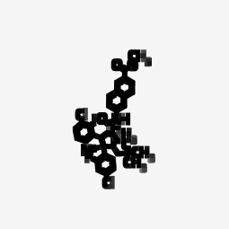 COC(=O)c1ccc2cc(NC(=O)[C@@H]3N[C@@H](CC(C)(C)C)[C@](C#N)(c4ccc(Cl)cc4F)[C@H]3c3cccc(Cl)c3F)ccc2c1